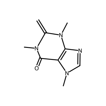 C=C1N(C)C(=O)c2c(ncn2C)N1C